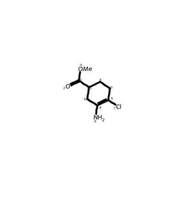 COC(=O)C1CCC(Cl)=C(N)C1